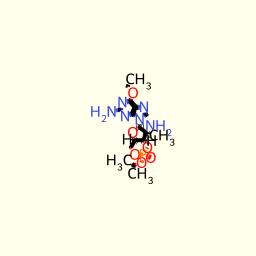 CCOc1nc(N)nc2c1ncn2[C@@H]1O[C@@H]2COP(=O)(OC(C)C)O[C@H]2[C@@]1(C)N